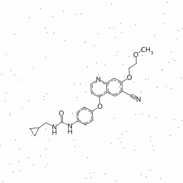 COCCOc1cc2nccc(Oc3ccc(NC(=O)NCC4CC4)cc3)c2cc1C#N